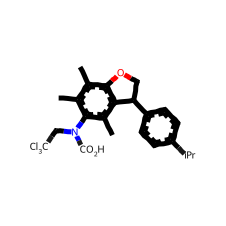 Cc1c(C)c(N(CC(Cl)(Cl)Cl)C(=O)O)c(C)c2c1OCC2c1ccc(C(C)C)cc1